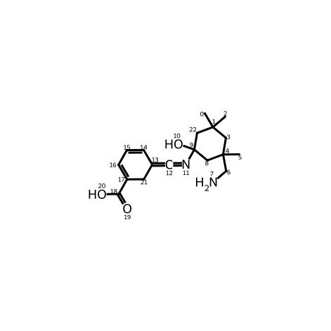 CC1(C)CC(C)(CN)CC(O)(N=C=C2C=CC=C(C(=O)O)C2)C1